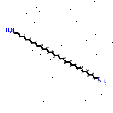 NC=CCCCCCCCCCCCCCCCCCCCCCCCCCCCCN